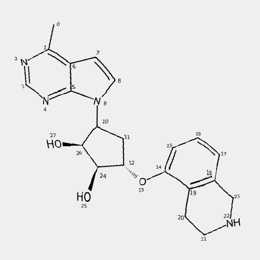 Cc1ncnc2c1ccn2C1C[C@H](Oc2cccc3c2CCNC3)[C@@H](O)[C@H]1O